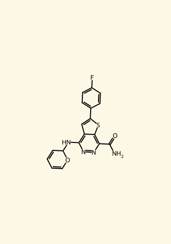 NC(=O)c1nnc(NC2C=CC=CO2)c2cc(-c3ccc(F)cc3)sc12